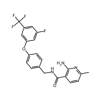 Cc1ccc(C(=O)NCc2ccc(Oc3cc(F)cc(C(F)(F)F)c3)cc2)c(N)n1